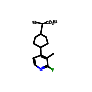 CCOC(=O)C(CC)C1CCC(c2ccnc(F)c2C)CC1